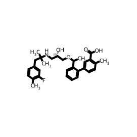 Cc1ccc(CC(C)(C)NC[C@H](O)COC(C)c2ccccc2-c2ccc(C)c(C(=O)O)c2)cc1F